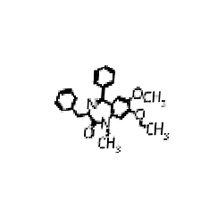 CCOc1cc2c(cc1OC)C(c1ccccc1)=NC(Cc1ccccc1)C(=O)N2CC